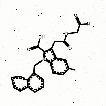 NC(=O)CNC(=O)Cc1c(C(=O)O)n(Cc2cccc3ccccc23)c2ccc(F)cc12